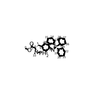 COC(=O)[C@H](Cc1ccc(N=P(c2ccccc2)(c2ccccc2)c2ccccc2)cc1)N(C)P